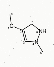 COC1=[C]N(C)NC1